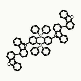 c1ccc([Si]2(c3ccccc3)c3ccc(-n4c5ccccc5c5c(-c6cccc7oc8ccccc8c67)cccc54)cc3[Si](c3ccccc3)(c3ccccc3)c3ccc(-n4c5ccccc5c5c(-c6cccc7oc8ccccc8c67)cccc54)cc32)cc1